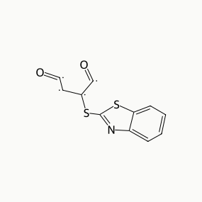 O=[C][CH][C]([C]=O)Sc1nc2ccccc2s1